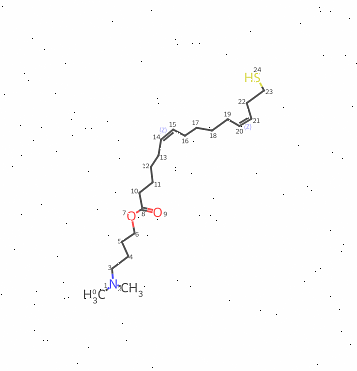 CN(C)CCCCOC(=O)CCCC/C=C\CCCC/C=C\CCS